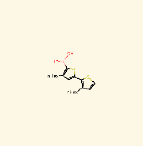 CCCCCCc1cc(-c2sccc2CCCCCC)sc1B(O)O